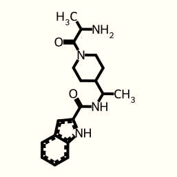 CC(N)C(=O)N1CCC(C(C)NC(=O)c2cc3ccccc3[nH]2)CC1